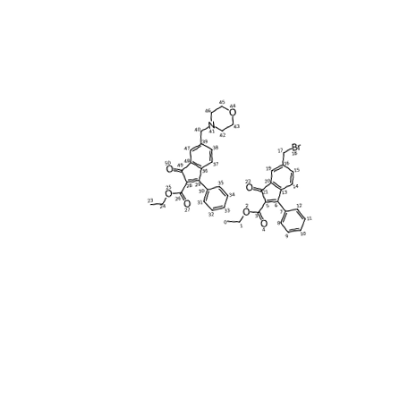 CCOC(=O)C1=C(c2ccccc2)c2ccc(CBr)cc2C1=O.CCOC(=O)C1=C(c2ccccc2)c2ccc(CN3CCOCC3)cc2C1=O